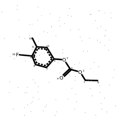 CCOC(=O)Oc1ccc(F)c(C)c1